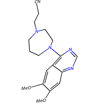 COc1cc2ncnc(N3CCCN(CCC#N)CC3)c2cc1OC